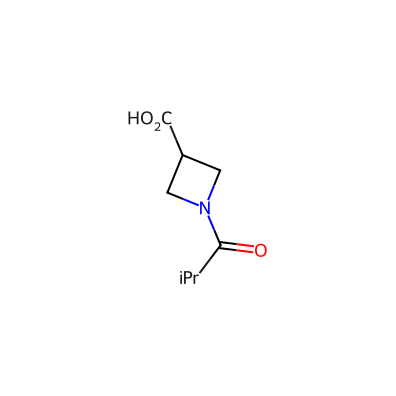 CC(C)C(=O)N1CC(C(=O)O)C1